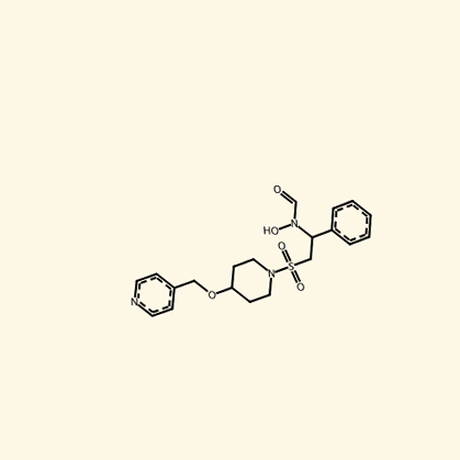 O=CN(O)C(CS(=O)(=O)N1CCC(OCc2ccncc2)CC1)c1ccccc1